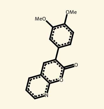 COc1ccc(-c2cc3cccnc3oc2=O)cc1OC